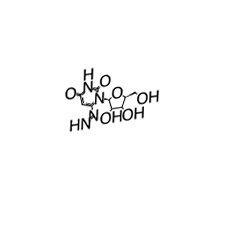 N=Nc1cc(=O)[nH]c(=O)n1[C@H]1O[C@@H](CO)C(O)C1O